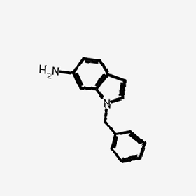 Nc1ccc2ccn(Cc3ccccc3)c2c1